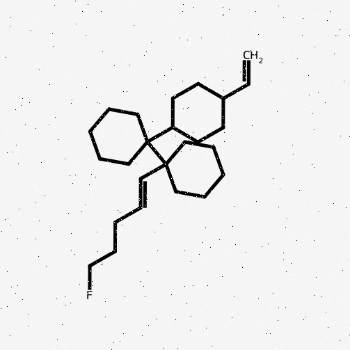 C=CC1CCC(C2(C3(/C=C/CCCF)CCCCC3)CCCCC2)CC1